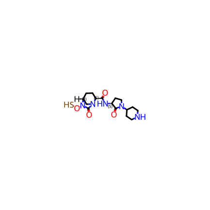 O=C(N[C@H]1CCN(C2CCNCC2)C1=O)[C@@H]1CC[C@@H]2CN1C(=O)N2OS